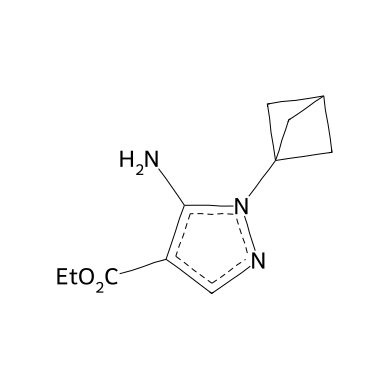 CCOC(=O)c1cnn(C23CC(C2)C3)c1N